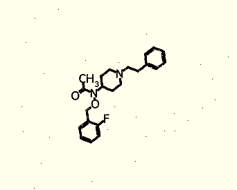 CC(=O)N(OCc1ccccc1F)C1CCN(CCc2ccccc2)CC1